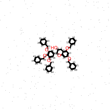 O[C@H]1Cc2c(OCc3ccccc3)cc(OCc3ccccc3)cc2O[C@@H]1c1cc(OCc2ccccc2)c(OCc2ccccc2)c(OCc2ccccc2)c1